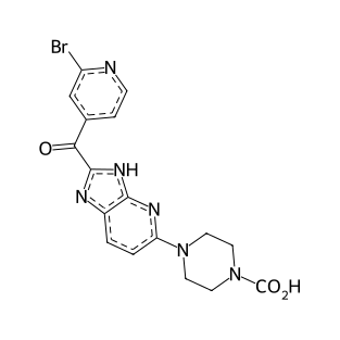 O=C(c1ccnc(Br)c1)c1nc2ccc(N3CCN(C(=O)O)CC3)nc2[nH]1